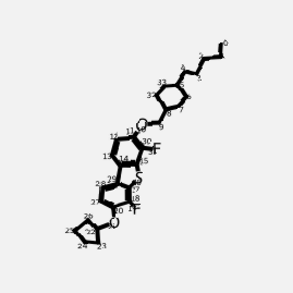 CCCCCC1CCC(COc2ccc3c(sc4c(F)c(OC5CCCC5)ccc43)c2F)CC1